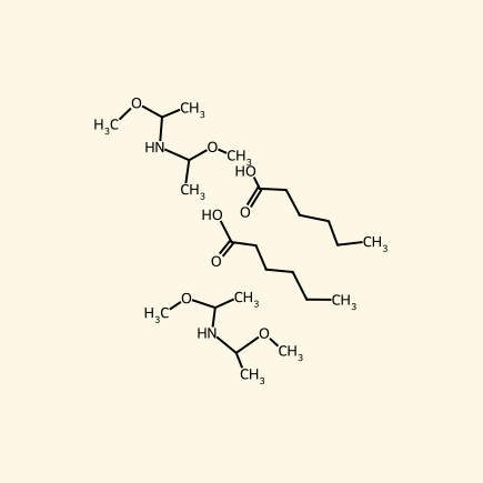 CCCCCC(=O)O.CCCCCC(=O)O.COC(C)NC(C)OC.COC(C)NC(C)OC